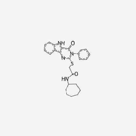 O=C(CSc1nc2c([nH]c3ccccc32)c(=O)n1-c1ccccc1)NC1CCCCCC1